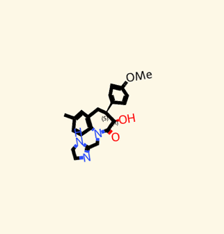 COc1ccc([C@@H]2Cc3cc(C)ccc3N(CC3=NCCN3)C(=O)[C@@H]2O)cc1